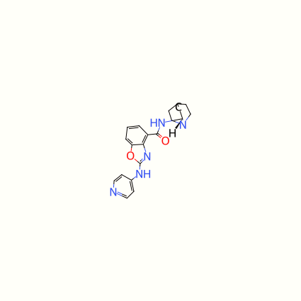 O=C(N[C@@H]1CC2CCN1CC2)c1cccc2oc(Nc3ccncc3)nc12